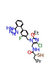 CCOc1nc(Cl)c(CNC(=O)[C@@H](S)CC(C)C)n1Cc1ccc(-c2ccccc2-c2nnn[nH]2)cc1F